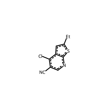 CCc1cc2c(Cl)c(C#N)cnc2s1